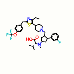 CCc1nc(Cc2ccc(OC(F)(F)F)cc2)sc1C1CCN(CC2CC(N(C)[C@@H](C(=O)O)C(C)C)CC2c2cccc(F)c2)CC1